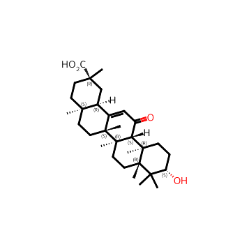 CC1(C)[C@@H](O)CC[C@]2(C)[C@H]3C(=O)C=C4[C@@H]5C[C@](C)(C(=O)O)CC[C@]5(C)CC[C@@]4(C)[C@]3(C)CC[C@@]12C